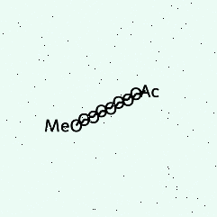 COCCOCCOCCOCCOCCOCCOCCOCCC(C)=O